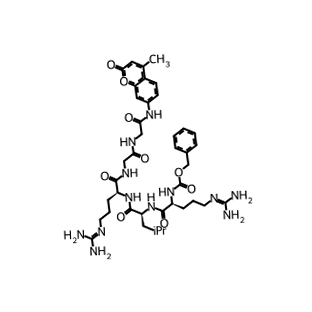 Cc1cc(=O)oc2cc(NC(=O)CNC(=O)CNC(=O)[C@H](CCCN=C(N)N)NC(=O)[C@H](CC(C)C)NC(=O)[C@H](CCCN=C(N)N)NC(=O)OCc3ccccc3)ccc12